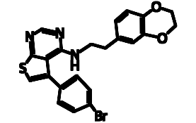 Brc1ccc(-c2csc3ncnc(NCCc4ccc5c(c4)OCCO5)c23)cc1